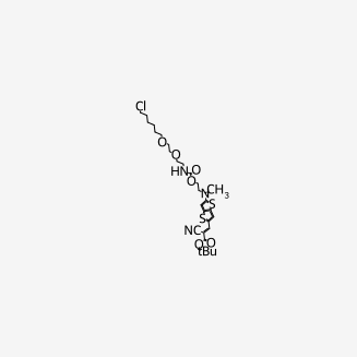 CN(CCOC(=O)NCCOCCOCCCCCCCl)c1cc2sc(/C=C(\C#N)C(=O)OC(C)(C)C)cc2s1